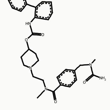 CN(Cc1ccc(C(=O)N(C)CCN2CCC(OC(=O)Nc3ccccc3-c3ccccc3)CC2)cc1)C(N)=O